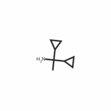 CC(N)(C1CC1)C1CC1